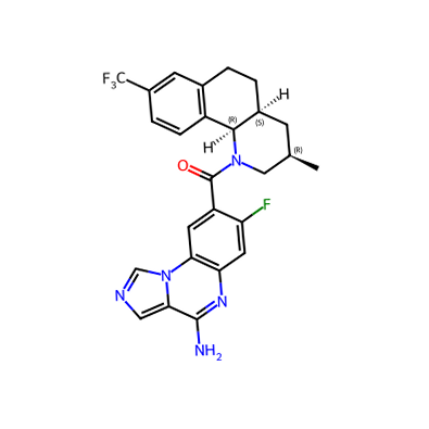 C[C@@H]1C[C@@H]2CCc3cc(C(F)(F)F)ccc3[C@@H]2N(C(=O)c2cc3c(cc2F)nc(N)c2cncn23)C1